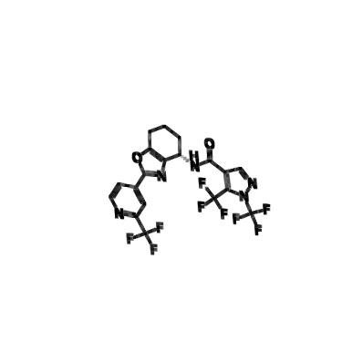 O=C(N[C@H]1CCCc2oc(-c3ccnc(C(F)(F)F)c3)nc21)c1cnn(C(F)(F)F)c1C(F)(F)F